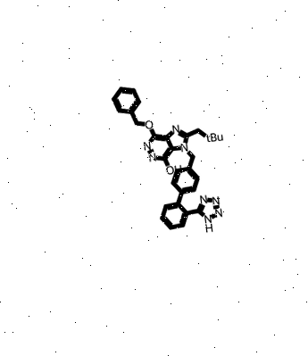 CC(C)(C)Cc1nc2c(OCc3ccccc3)nnc(O)c2n1Cc1ccc(-c2ccccc2-c2nnn[nH]2)cc1